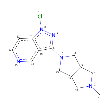 CN1CC2CN(c3nn(Cl)c4ccncc34)CC2C1